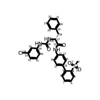 CS(=O)(=O)c1ccccc1-c1ccc(NC(=O)[C@@H](Cc2ccccc2)NC(=O)Nc2cccc(Cl)c2)cc1